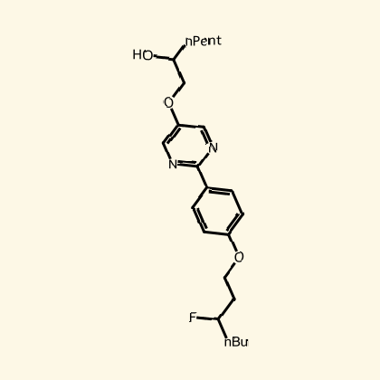 CCCCCC(O)COc1cnc(-c2ccc(OCCC(F)CCCC)cc2)nc1